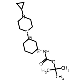 CC(C)(C)OC(=O)N[C@@H]1CCC[C@@H](N2CCN(C3CC3)CC2)C1